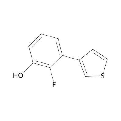 Oc1cccc(-c2ccsc2)c1F